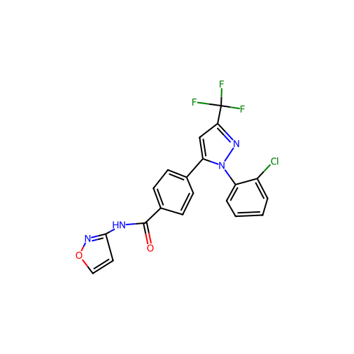 O=C(Nc1ccon1)c1ccc(-c2cc(C(F)(F)F)nn2-c2ccccc2Cl)cc1